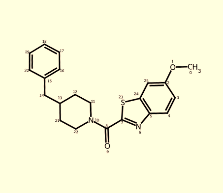 COc1ccc2nc(C(=O)N3CCC(Cc4ccccc4)CC3)sc2c1